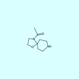 CC(=O)N1CCOC12CCNCC2